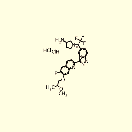 COC(C)COc1cc2nc(-c3nnc4ccc([C@@H](N5CCC(N)C5)C(F)(F)F)cn34)ccc2cc1F.Cl.Cl